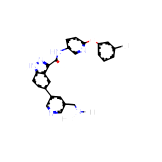 Cc1cccc(Oc2ccc(NC(=O)c3n[nH]c4ccc(-c5cncc(CN(C)C)c5)cc34)cn2)c1